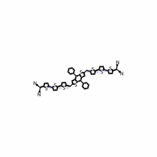 N#CC(C#N)=c1cc/c(=c2/cc/c(=c3/cc/c(=C\c4cc5c(-c6ccccc6)c6sc(/C=c7\cc/c(=c8/cc/c(=c9/ccc(=C(C#N)C#N)s9)s8)s7)cc6c(-c6ccccc6)c5s4)s3)s2)s1